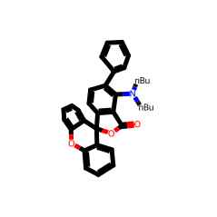 CCCCN(CCCC)c1c(-c2ccccc2)ccc2c1C(=O)OC21c2ccccc2Oc2ccccc21